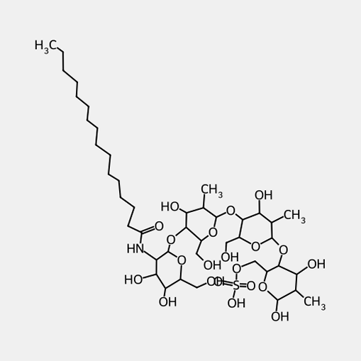 CCCCCCCCCCCCCCCC(=O)NC1C(OC2C(CO)OC(OC3C(CO)OC(OC4C(COS(=O)(=O)O)OC(O)C(C)C4O)C(C)C3O)C(C)C2O)OC(CO)C(O)C1O